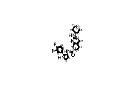 O=C(N[C@@H]1CCN[C@H]1c1ccc(F)c(F)c1)N1CCc2cnc(NC3CCOCC3)nc2C1